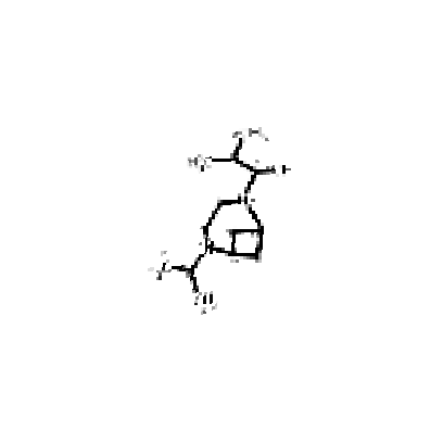 CC(C)C(C)N1CCN(C(C)C)C2CC1C2